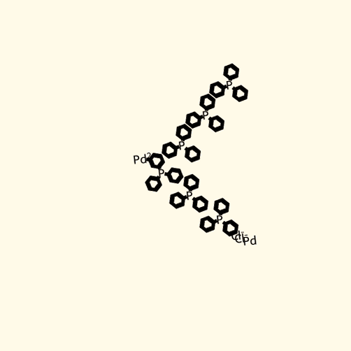 [Cl-].[Cl-].[Pd+2][c]1cccc(P(c2ccccc2)c2ccccc2)c1.[Pd].c1ccc(P(c2ccccc2)c2ccccc2)cc1.c1ccc(P(c2ccccc2)c2ccccc2)cc1.c1ccc(P(c2ccccc2)c2ccccc2)cc1.c1ccc(P(c2ccccc2)c2ccccc2)cc1.c1ccc(P(c2ccccc2)c2ccccc2)cc1